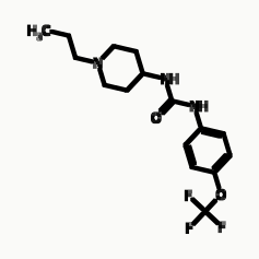 CCCN1CCC(NC(=O)Nc2ccc(OC(F)(F)F)cc2)CC1